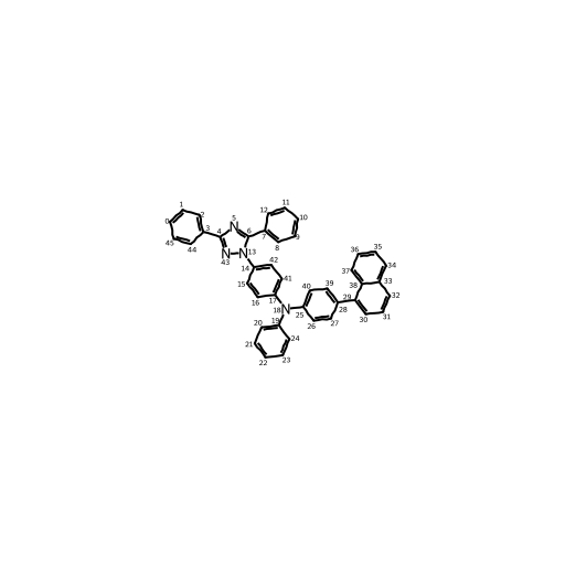 c1ccc(-c2nc(-c3ccccc3)n(-c3ccc(N(c4ccccc4)c4ccc(-c5cccc6ccccc56)cc4)cc3)n2)cc1